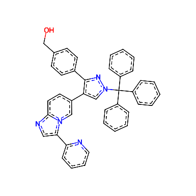 OCc1ccc(-c2nn(C(c3ccccc3)(c3ccccc3)c3ccccc3)cc2-c2ccc3ncc(-c4ccccn4)n3c2)cc1